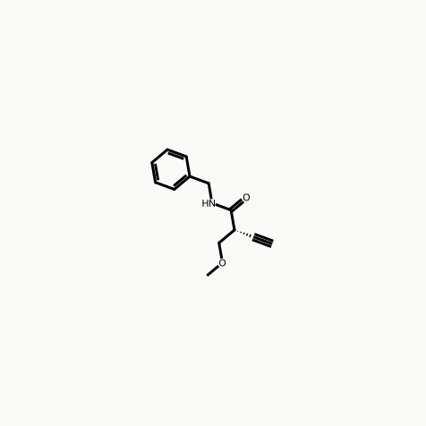 C#C[C@H](COC)C(=O)NCc1ccccc1